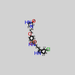 O=C1CN(CCCOc2ccc(S(=O)(=O)NCCCc3c[nH]c4ccc(Cl)cc34)cc2)CCN1